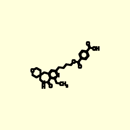 CCc1nc(CCCCOC(=O)c2ccc(C(=O)O)cc2)cc2c1C(=O)NCC1(CCOCC1)C2